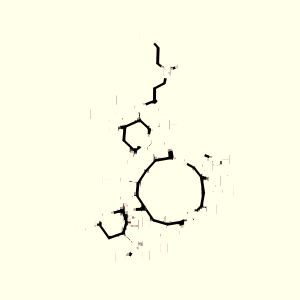 CC[C@H]1OC(=O)[C@H](C)[C@@H](O[C@H]2C[C@@](C)(OC)[C@@H](OC(=O)CCN(C)CCO)[C@H](C)O2)[C@H](C)[C@@H](O[C@@H]2O[C@H](C)C[C@H](N(C)C)[C@H]2O)[C@](C)(OC)C[C@@H](C)C(=O)N[C@H](C)[C@@H](O)[C@]1(C)O